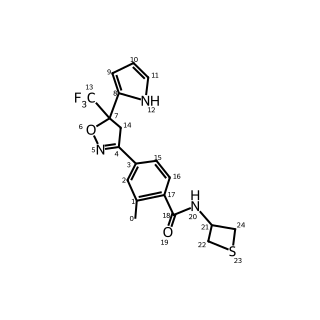 Cc1cc(C2=NOC(c3ccc[nH]3)(C(F)(F)F)C2)ccc1C(=O)NC1CSC1